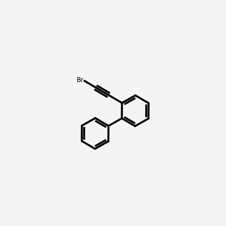 BrC#Cc1ccccc1-c1ccccc1